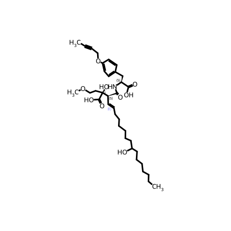 CC#CCOc1ccc(C[C@H](NC(=O)[C@@H](/C=C/CCCCCCC(O)CCCCCCC)[C@@](O)(CCOC)C(=O)O)C(=O)O)cc1